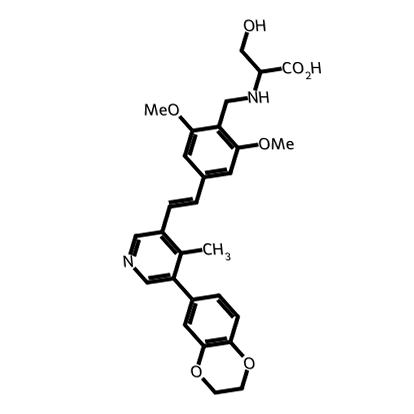 COc1cc(C=Cc2cncc(-c3ccc4c(c3)OCCO4)c2C)cc(OC)c1CNC(CO)C(=O)O